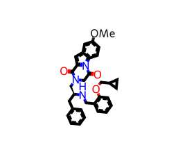 COc1ccc2c(c1)cc1n2C(=O)CN(C[C@H](Cc2ccccc2)NCc2ccccc2OCC2CC2)C1=O